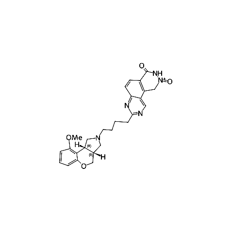 COc1cccc2c1[C@@H]1CN(CCCCc3ncc4c5c(ccc4n3)C(=O)N[N+](=O)C5)C[C@@H]1CO2